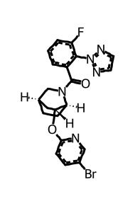 O=C(c1cccc(F)c1-n1nccn1)N1C[C@@H]2CC[C@H]1[C@H](Oc1ccc(Br)cn1)C2